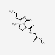 CCOC(=O)C1(C)SCC(C(=O)NCC(=O)OC)N1C(C)=O